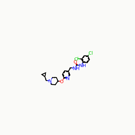 O=C(NCc1ccc(OC2CCN(CC3CC3)CC2)nc1)Nc1ccc(Cl)cc1Cl